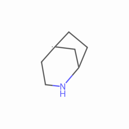 C1C[C]2CCC(C2)N1